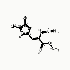 COC(=O)/C(=C/c1cc(Br)c(Cl)s1)N=[N+]=[N-]